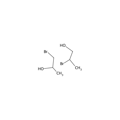 CC(Br)CO.CC(O)CBr